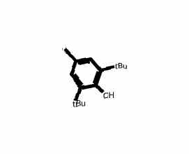 [CH2]c1cc(C(C)(C)C)c(O)c(C(C)(C)C)c1